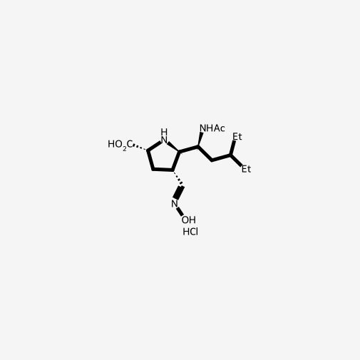 CCC(CC)C[C@H](NC(C)=O)[C@@H]1N[C@@H](C(=O)O)C[C@H]1C=NO.Cl